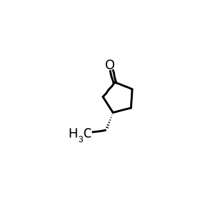 CC[C@H]1CCC(=O)C1